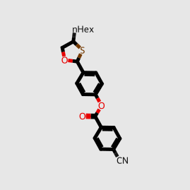 CCCCCCC1COC(c2ccc(OC(=O)c3ccc(C#N)cc3)cc2)S1